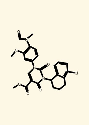 COC(=O)c1cn(-c2ccc(N(C)C=O)c(OC)c2)c(=O)n(C2CCCc3c(Cl)cccc32)c1=O